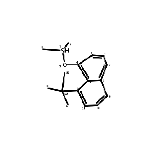 C[SiH](C)Oc1[c]ccc2cccc(C(C)(C)C)c12